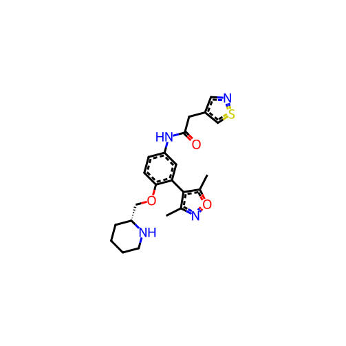 Cc1noc(C)c1-c1cc(NC(=O)Cc2cnsc2)ccc1OC[C@H]1CCCCN1